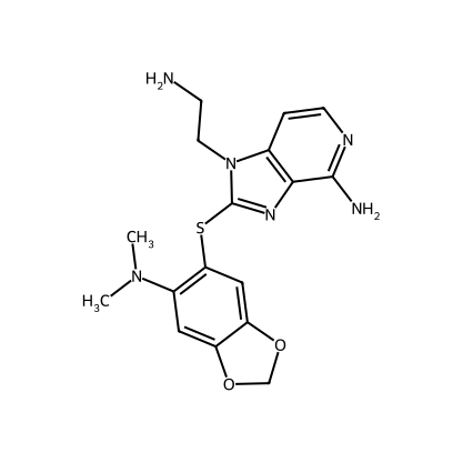 CN(C)c1cc2c(cc1Sc1nc3c(N)nccc3n1CCN)OCO2